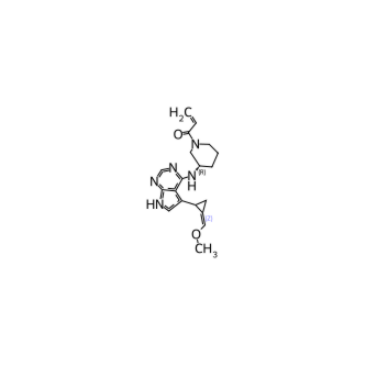 C=CC(=O)N1CCC[C@@H](Nc2ncnc3[nH]cc(C4C/C4=C/OC)c23)C1